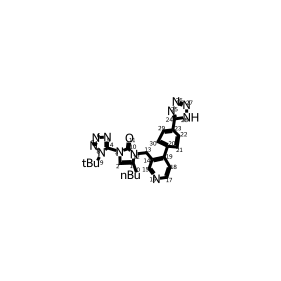 CCCCc1cn(-c2nnnn2C(C)(C)C)c(=O)n1Cc1cnccc1-c1ccc(-c2nnn[nH]2)cc1